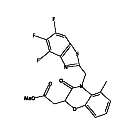 COC(=O)CC1Oc2cccc(C)c2N(Cc2nc3c(F)c(F)c(F)cc3s2)C1=O